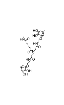 CNC(=O)CCCCC(=O)N(CCC(=O)NCCO[C@@H]1O[C@@H](C)C[C@@H](O)[C@@H]1O)CCC(=O)NCCO[C@@H]1O[C@@H](C)C[C@@H](O)[C@@H]1O